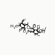 Cc1cc(F)c(COC(=O)c2c([N+](=O)[O-])ccc(O)c2Cl)c(F)c1F